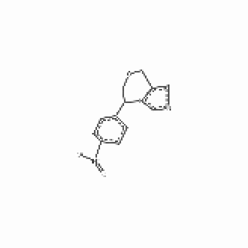 O=[N+]([O-])c1ccc(C2COCc3cncn32)cc1